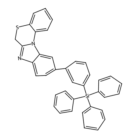 c1ccc([Si](c2ccccc2)(c2ccccc2)c2cccc(-c3ccc4nc5n(c4c3)-c3ccccc3SC5)c2)cc1